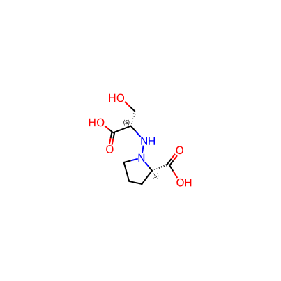 O=C(O)[C@H](CO)NN1CCC[C@H]1C(=O)O